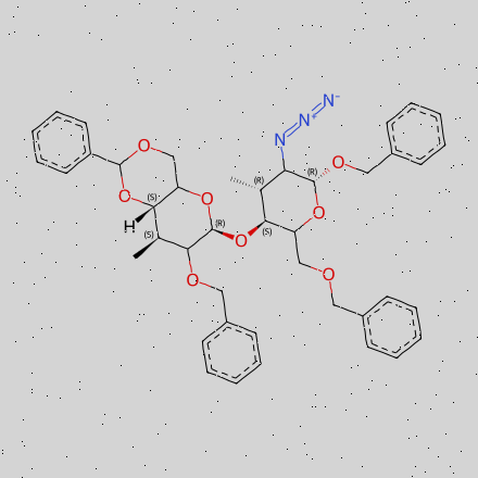 C[C@@H]1C(N=[N+]=[N-])[C@H](OCc2ccccc2)OC(COCc2ccccc2)[C@H]1O[C@@H]1OC2COC(c3ccccc3)O[C@H]2[C@H](C)C1OCc1ccccc1